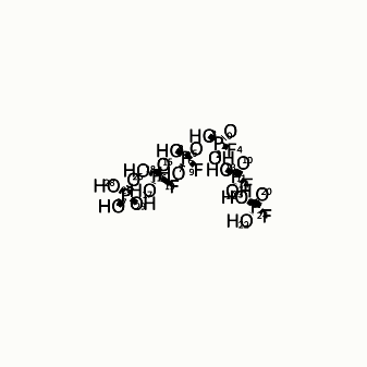 O=P(O)(O)F.O=P(O)(O)F.O=P(O)(O)F.O=P(O)(O)F.O=P(O)(O)F.O=P(O)(O)O